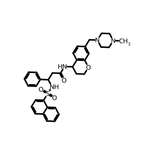 CN1CCN(Cc2ccc3c(c2)OCCC3NC(=O)CC(NS(=O)(=O)c2cccc3ccccc23)c2ccccc2)CC1